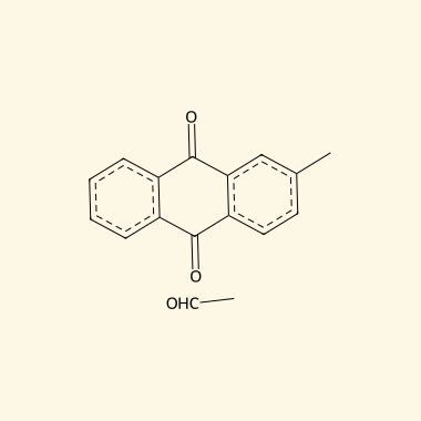 CC=O.Cc1ccc2c(c1)C(=O)c1ccccc1C2=O